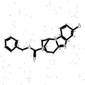 O=C(OCc1ccccc1)N1CC2CC1Cc1nc3cc(Cl)ccc3n12